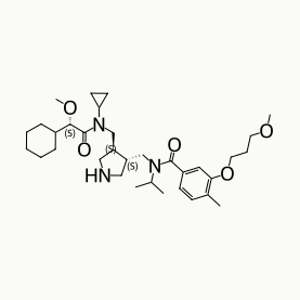 COCCCOc1cc(C(=O)N(C[C@@H]2CNC[C@H]2CN(C(=O)[C@@H](OC)C2CCCCC2)C2CC2)C(C)C)ccc1C